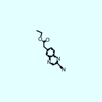 CCOC(=O)Cc1ccc2nc(C#N)cnc2c1